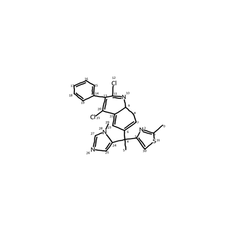 Cc1nc(C(C)(C2=CCC3N=C(Cl)C(c4ccccc4)=C(Cl)C3=C2)c2cncn2C)cs1